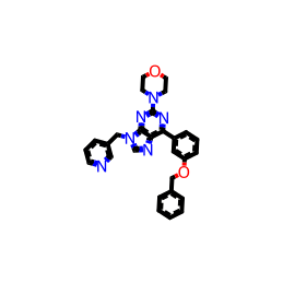 c1ccc(COc2cccc(-c3nc(N4CCOCC4)nc4c3ncn4Cc3cccnc3)c2)cc1